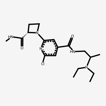 CCN(CC)C(C)CNC(=O)c1cc(Cl)nc(N2CC[C@H]2C(=O)NC)c1